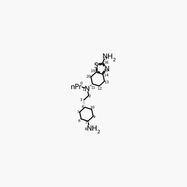 CCCN(CC[C@H]1CC[C@H](N)CC1)[C@H]1CCc2nc(N)sc2C1